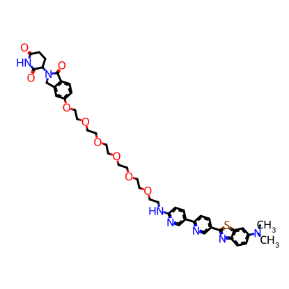 CN(C)c1ccc2nc(-c3ccc(-c4ccc(NCCOCCOCCOCCOCCOCCOc5ccc6c(c5)CN(C5CCC(=O)NC5=O)C6=O)nc4)nc3)sc2c1